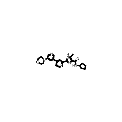 Cc1[nH]c(-c2cc(-c3cncc(N4CCOCC4)c3)ccn2)nc1C(=O)NC1CCCC1